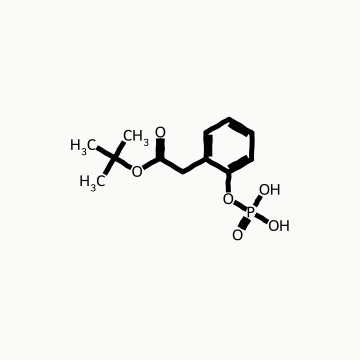 CC(C)(C)OC(=O)Cc1ccccc1OP(=O)(O)O